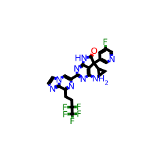 Nc1nc(-c2cn3ccnc3c(CCC(F)(F)C(F)(F)F)n2)nc2c1C(c1cncc(F)c1)(C1CC1)C(=O)N2